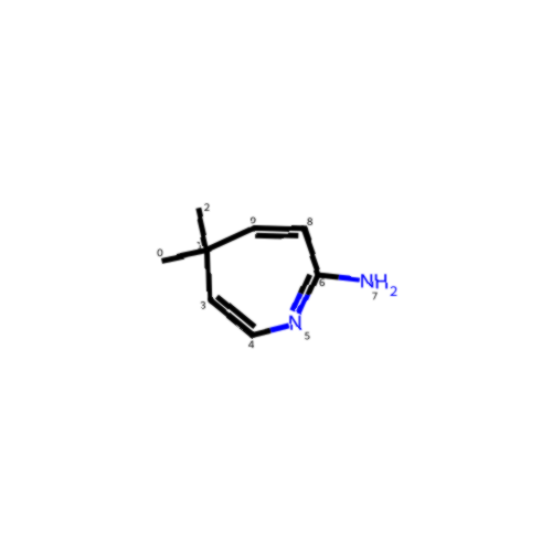 CC1(C)C=CN=C(N)C=C1